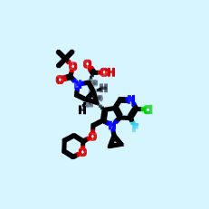 CC(C)(C)OC(=O)N1C[C@@H]2[C@@H](c3c(COC4CCCCO4)n(C4CC4)c4c(F)c(Cl)ncc34)[C@@H]2[C@H]1C(=O)O